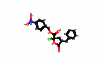 O=C1OC(Cl)(C(=O)OCc2ccc([N+](=O)[O-])cc2)CC1Cc1ccccc1